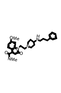 CNC(=O)c1cc(=O)n(CCN2CCC(NCCCc3ccccc3)CC2)c2cc(OC)ccc12